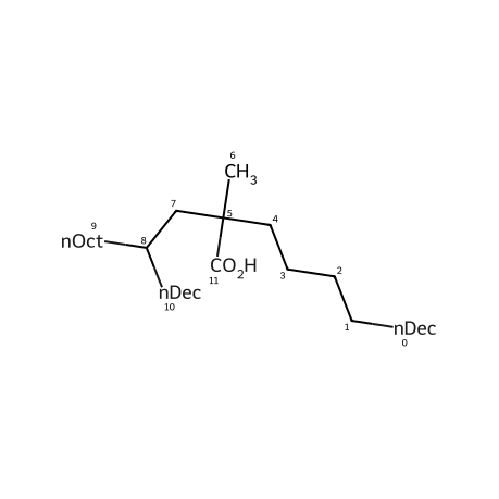 CCCCCCCCCCCCCCC(C)(CC(CCCCCCCC)CCCCCCCCCC)C(=O)O